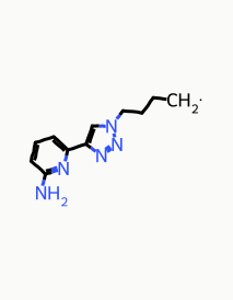 [CH2]CCCn1cc(-c2cccc(N)n2)nn1